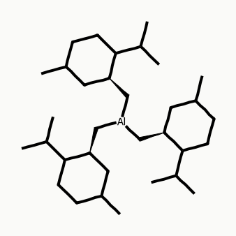 CC1CCC(C(C)C)[C@@H]([CH2][Al]([CH2][C@H]2CC(C)CCC2C(C)C)[CH2][C@H]2CC(C)CCC2C(C)C)C1